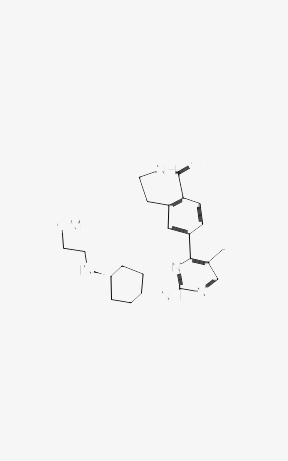 COCCN[C@H]1CC[C@H](Nc2ncc(F)c(-c3ccc4c(c3)CCNC4=O)n2)CC1